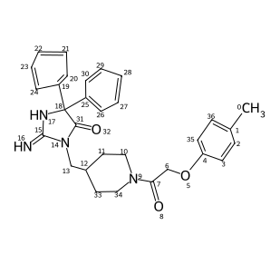 Cc1ccc(OCC(=O)N2CCC(CN3C(=N)NC(c4ccccc4)(c4ccccc4)C3=O)CC2)cc1